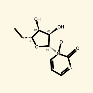 O=C1N=CC=C[N+]1([O-])[C@@H]1O[C@H](CI)[C@@H](O)[C@H]1O